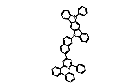 c1ccc(-c2nc(-c3ccc4ccc(-n5c6ccccc6c6cc7c(cc65)c5ccccc5n7-c5ccccc5)cc4c3)cc(-c3ccccc3-c3ccccc3)n2)cc1